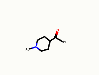 CC(=O)N1CCC(C(=O)C(C)C)CC1